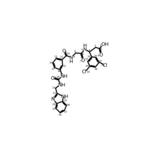 O=C(O)CC(NC(=O)CNC(=O)c1cccc(NC(=O)NCc2nc3ccccc3[nH]2)c1)c1cc(Cl)cc(Cl)c1